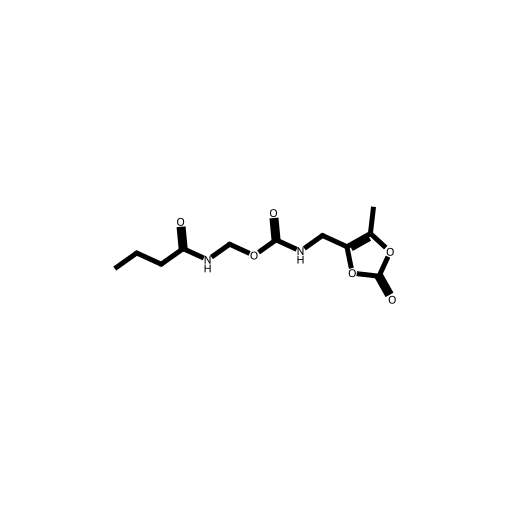 CCCC(=O)NCOC(=O)NCc1oc(=O)oc1C